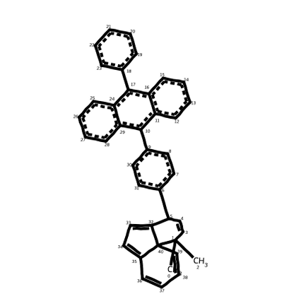 CC1(C)C=CC(c2ccc(-c3c4ccccc4c(-c4ccccc4)c4ccccc34)cc2)C2=CC=C3C=CC=CC321